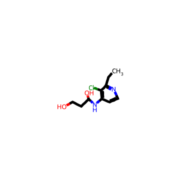 CCc1nccc(NC(O)CCO)c1Cl